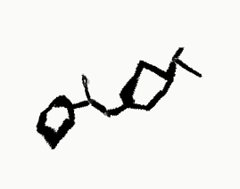 CN(C)c1ccc(N=[N+]([O-])c2ccccc2)cc1